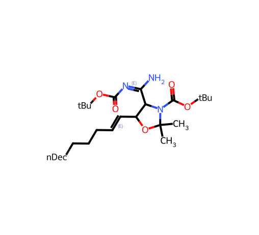 CCCCCCCCCCCCC/C=C/C1OC(C)(C)N(C(=O)OC(C)(C)C)C1/C(N)=N\C(=O)OC(C)(C)C